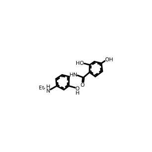 CCNc1ccc(NC(=O)c2ccc(O)cc2O)c(O)c1